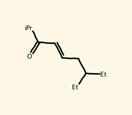 CCC(CC)C/C=C/C(=O)C(C)C